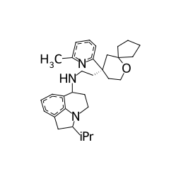 Cc1cccc([C@]2(CCNC3CCN4c5c(cccc53)CC4C(C)C)CCOC3(CCCC3)C2)n1